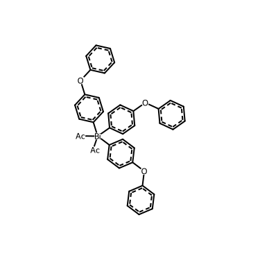 C[C](=O)[Bi]([C](C)=O)([c]1ccc(Oc2ccccc2)cc1)([c]1ccc(Oc2ccccc2)cc1)[c]1ccc(Oc2ccccc2)cc1